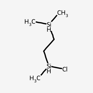 C[SiH](C)CC[SiH](C)Cl